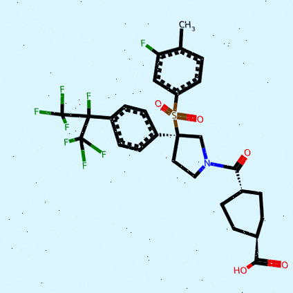 Cc1ccc(S(=O)(=O)[C@]2(c3ccc(C(F)(C(F)(F)F)C(F)(F)F)cc3)CCN(C(=O)[C@H]3CC[C@H](C(=O)O)CC3)C2)cc1F